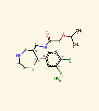 CC(C)OCC(=O)NC[C@@H]1CNCCO[C@H]1c1ccc(Cl)c(F)c1.Cl